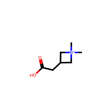 C[N+]1(C)CC(CC(=O)O)C1